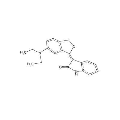 CCN(CC)c1ccc2c(c1)/C(=C1\C(=O)Nc3ccccc31)OC2